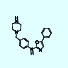 c1ccc(-c2cnc(Nc3ccc(CN4CCNCC4)cc3)o2)cc1